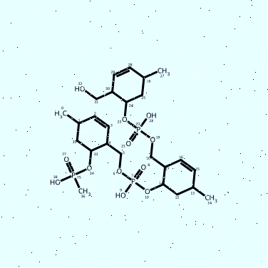 CC1C=CC(COP(=O)(O)OC2CC(C)C=CC2COP(=O)(O)OC2CC(C)C=CC2CO)C(OP(C)(=O)O)C1